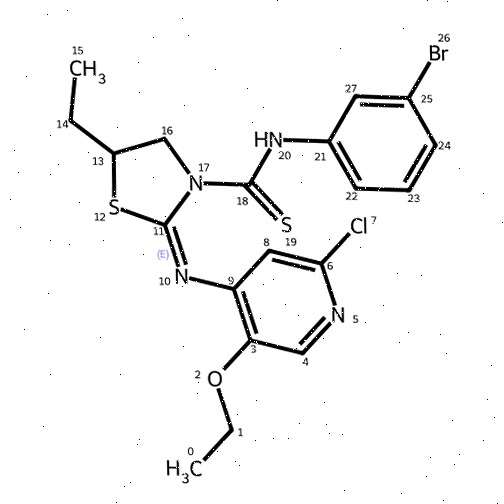 CCOc1cnc(Cl)cc1/N=C1/SC(CC)CN1C(=S)Nc1cccc(Br)c1